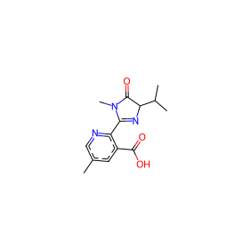 Cc1cnc(C2=NC(C(C)C)C(=O)N2C)c(C(=O)O)c1